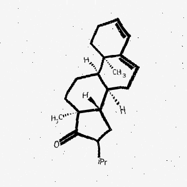 CC(C)C1C[C@H]2[C@@H]3CC=C4C=CCC[C@]4(C)[C@@H]3CC[C@]2(C)C1=O